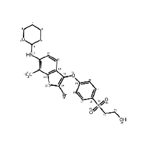 Cc1c(NC2CCCCO2)ccc2c(Oc3ccc(S(=O)(=O)CCO)cc3)c(Br)sc12